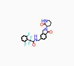 O=C1NCCCC1N1Cc2cc(CNC(=O)C(F)(F)c3c(F)cccc3F)ccc2C1=O